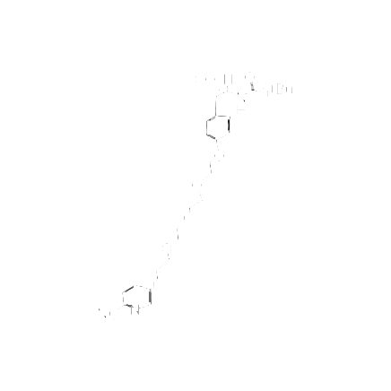 CC(C)(C)OC(=O)N[C@@H](Cc1ccc(OCCOCCOCCOCCOc2ccc(C#N)nc2)cc1)C(=O)O